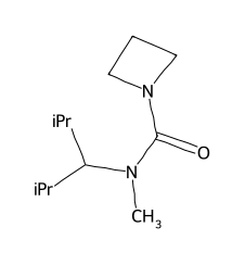 CC(C)C(C(C)C)N(C)C(=O)N1CCC1